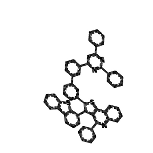 c1ccc(-c2cc(-c3cccc(-c4cccc(-c5sc6c(c(-c7ccccc7)nc7ccccc76)c5-c5cccc6c5sc5ccccc56)c4)c3)nc(-c3ccccc3)n2)cc1